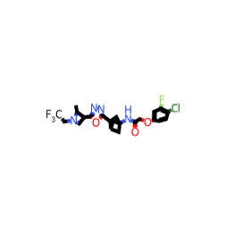 CC1C(c2nnc(C3CC4(NC(=O)COc5ccc(Cl)c(F)c5)CC3C4)o2)CN1CC(F)(F)F